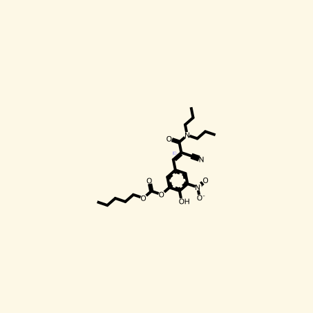 CCCCCOC(=O)Oc1cc(/C=C(\C#N)C(=O)N(CCC)CCC)cc([N+](=O)[O-])c1O